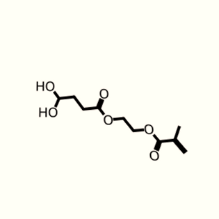 C=C(C)C(=O)OCCOC(=O)CCC(O)O